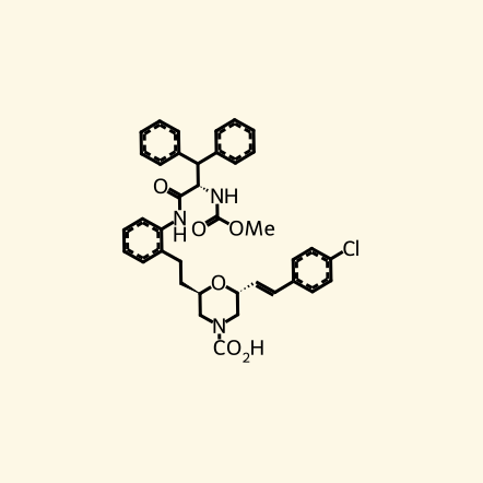 COC(=O)N[C@H](C(=O)Nc1ccccc1CC[C@@H]1CN(C(=O)O)C[C@@H](/C=C/c2ccc(Cl)cc2)O1)C(c1ccccc1)c1ccccc1